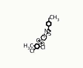 CCc1ccc(-c2csc(N3CCC(S(=O)(=O)c4cc(C)c(Cl)cc4Cl)CC3)n2)cc1